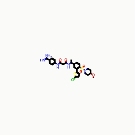 COC1CCN(S(=O)(=O)c2ccc(C(C)NC(=O)CC(=O)Nc3ccc(C(=N)N)cc3)cc2-c2ccc(Cl)s2)CC1